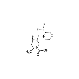 CC1CNC(CN2CCOC[C@H]2C(F)F)CN1C(=O)O